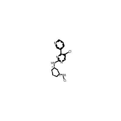 ClN[C@H]1CCC[C@@H](Nc2ncc(Cl)c(-c3cccnc3)n2)C1